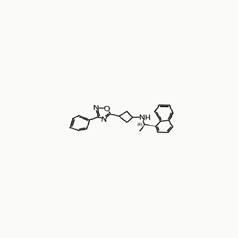 C[C@@H](NC1CC(c2nc(-c3ccccc3)no2)C1)c1cccc2ccccc12